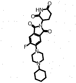 O=C1CCC(N2C(=O)c3cc(F)c(N4CCN(C5CCCCC5)CC4)cc3C2=O)C(=O)N1